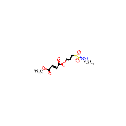 CNS(=O)(=O)CCCOC(=O)/C=C/C(=O)OC